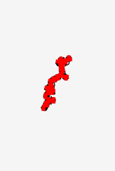 C1=CCCC(c2nc3cc(C4(c5ccccc5)c5ccccc5-c5cc(-c6ccc(-c7cc(-c8ccc(-c9ccc(-c%10cccc(-c%11nc%12cc(C%13(c%14ccccc%14)c%14ccccc%14-c%14cc(-c%15cccc(-c%16cc(-c%17ccc(-c%18ccccc%18)cc%17)nc(-c%17ccccc%17)n%16)c%15)ccc%14%13)ccc%12o%11)c%10)cc9)cc8)nc(-c8ccccc8)n7)cc6)ccc54)ccc3o2)=C1